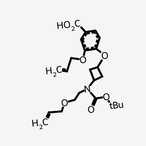 C=CCOCCN(C(=O)OC(C)(C)C)C1CC(Oc2ccc(C(=O)O)cc2OCC=C)C1